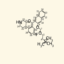 C[Si](C)(C)CCOCOc1cc2ccccc2cc1COC1CNCCC1c1ccc(F)cc1